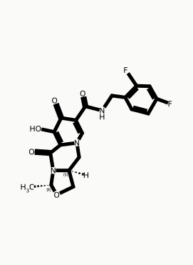 C[C@H]1OC[C@@H]2Cn3cc(C(=O)NCc4ccc(F)cc4F)c(=O)c(O)c3C(=O)N21